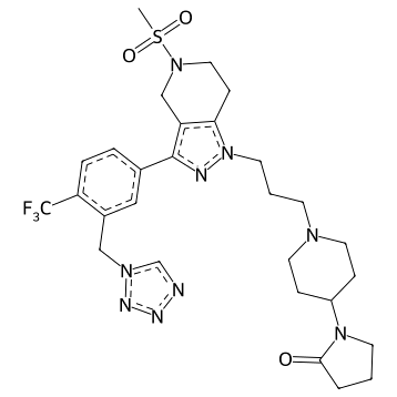 CS(=O)(=O)N1CCc2c(c(-c3ccc(C(F)(F)F)c(Cn4cnnn4)c3)nn2CCCN2CCC(N3CCCC3=O)CC2)C1